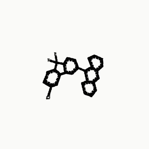 FC1(F)c2ccc(Cl)cc2-c2cc(-c3c4ccccc4cc4ccccc34)ccc21